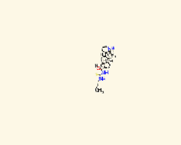 CCCCNC(=S)NC(=O)[C@H]1CC[C@H]2[C@@H]3CC[C@H]4NCCC[C@]4(C)[C@H]3CC[C@]12C